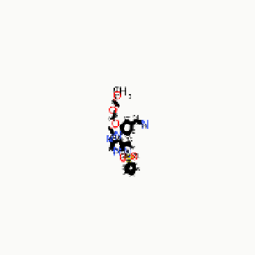 COCCOCCOCc1nc2cnc3c(ccn3S(=O)(=O)c3ccccc3)c2n1C1CCC(CC#N)CC1